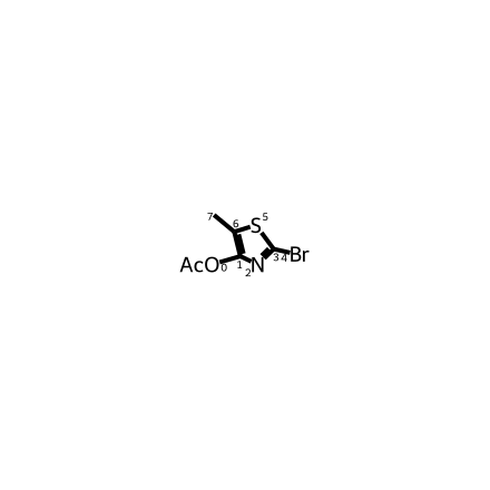 CC(=O)Oc1nc(Br)sc1C